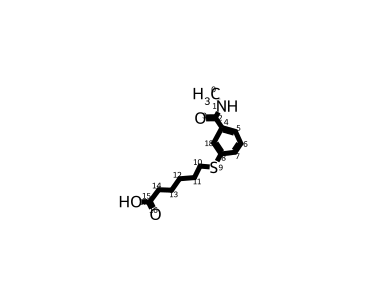 CNC(=O)c1cccc(SCCCCCC(=O)O)c1